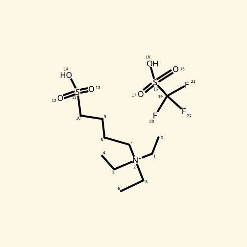 CC[N+](CC)(CC)CCCCS(=O)(=O)O.O=S(=O)(O)C(F)(F)F